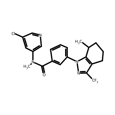 CC1CCCc2c(C(F)(F)F)nn(-c3cccc(C(=O)N(C)c4cncc(Cl)c4)c3)c21